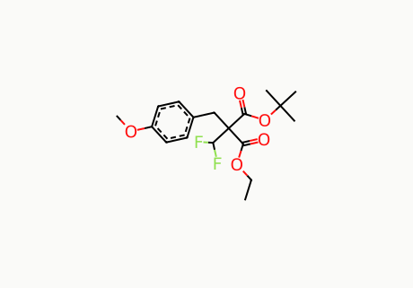 CCOC(=O)C(Cc1ccc(OC)cc1)(C(=O)OC(C)(C)C)C(F)F